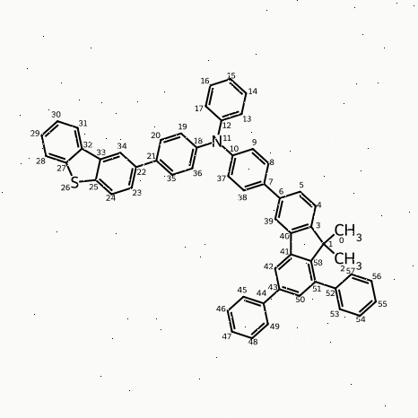 CC1(C)c2ccc(-c3ccc(N(c4ccccc4)c4ccc(-c5ccc6sc7ccccc7c6c5)cc4)cc3)cc2-c2cc(-c3ccccc3)cc(-c3ccccc3)c21